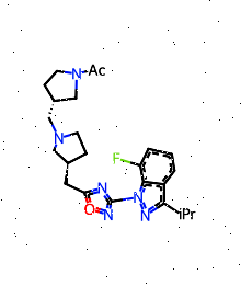 CC(=O)N1CC[C@@H](CN2CC[C@@H](Cc3nc(-n4nc(C(C)C)c5cccc(F)c54)no3)C2)C1